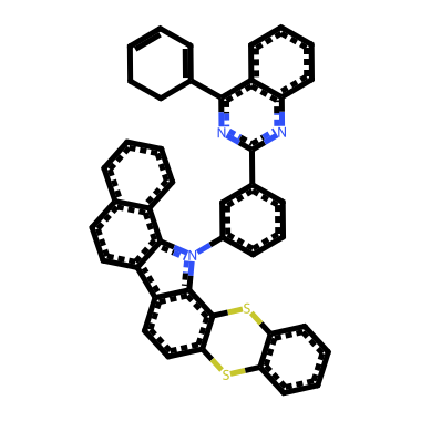 C1=CCCC(c2nc(-c3cccc(-n4c5c6c(ccc5c5ccc7ccccc7c54)Sc4ccccc4S6)c3)nc3ccccc23)=C1